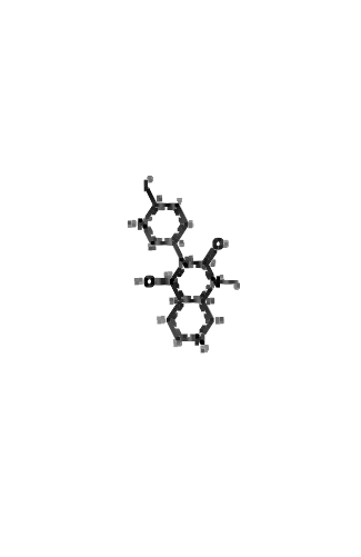 Cn1c(=O)n(-c2ccc(I)nc2)c(=O)c2ccncc21